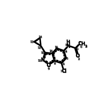 CC(=O)Nc1cc(Cl)c2onc(C3CC3)c2c1